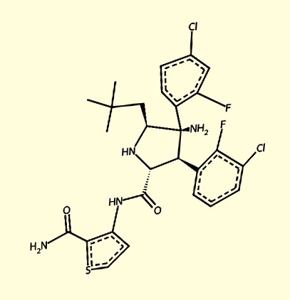 CC(C)(C)C[C@@H]1N[C@@H](C(=O)Nc2ccsc2C(N)=O)[C@H](c2cccc(Cl)c2F)[C@@]1(N)c1ccc(Cl)cc1F